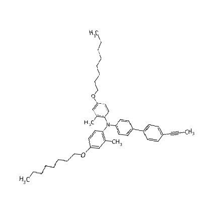 CC#Cc1ccc(-c2ccc(N(c3ccc(OCCCCCCCC)cc3C)c3ccc(OCCCCCCCC)cc3C)cc2)cc1